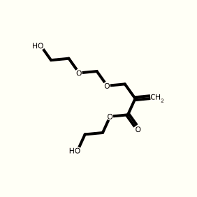 C=C(COCOCCO)C(=O)OCCO